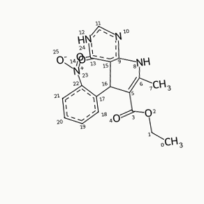 CCOC(=O)C1=C(C)Nc2nc[nH]c(=O)c2C1c1ccccc1[N+](=O)[O-]